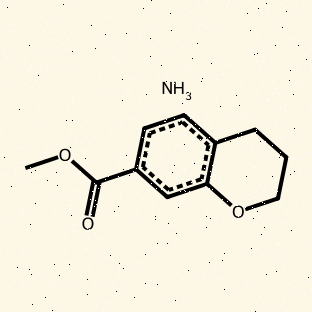 COC(=O)c1ccc2c(c1)OCCC2.N